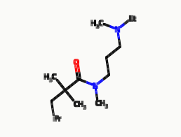 CCN(C)CCCN(C)C(=O)C(C)(C)CC(C)C